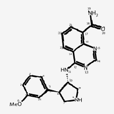 COc1cccc([C@@H]2CNC[C@H]2Nc2ncnc3c(C(N)=O)cccc23)c1